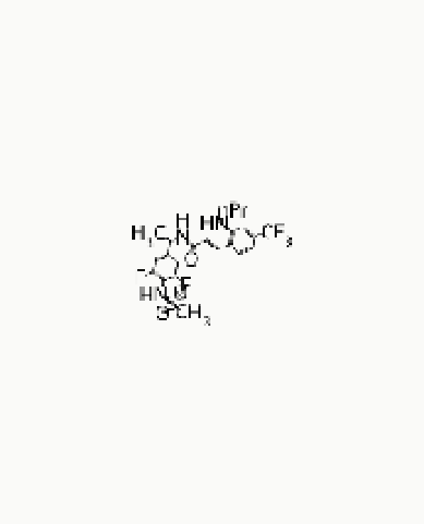 CCCNc1cc(C(F)(F)F)ccc1/C=C/C(=O)N[C@H](C)c1cc(F)c(NS(C)(=O)=O)c(F)c1